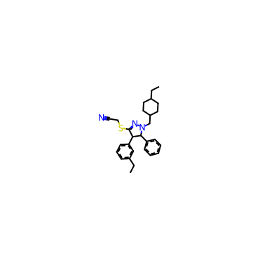 CCc1cccc(C2C(SCC#N)=NN(CC3CCC(CC)CC3)C2c2ccccc2)c1